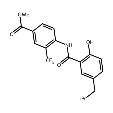 COC(=O)c1ccc(NC(=O)c2cc(CC(C)C)ccc2O)c(C(F)(F)F)c1